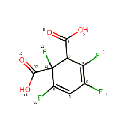 O=C(O)C1C(F)=C(F)C=C(F)C1(F)C(=O)O